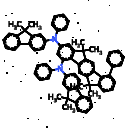 CC1(C)c2ccccc2-c2ccc(N(c3ccccc3)c3cc(N(c4ccccc4)c4ccc5c(c4)C(C)(C)c4ccccc4-5)c4c(c3)C(C)(C)c3cc5c(cc3-4)C(C)(C)c3cccc(-c4ccccc4)c3-5)cc21